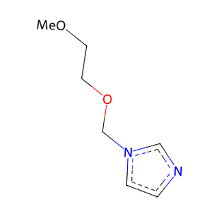 COCCOCn1ccnc1